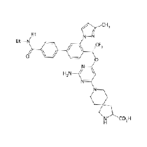 CCN(CC)C(=O)c1ccc(-c2ccc([C@@H](Oc3cc(N4CCC5(CC4)CNC(C(=O)O)C5)nc(N)n3)C(F)(F)F)c(-n3ccc(C)n3)c2)cc1